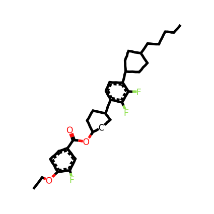 CCCCCC1CCC(c2ccc(C3CCC(OC(=O)c4ccc(OCC)c(F)c4)CC3)c(F)c2F)CC1